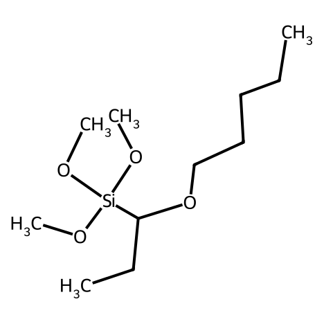 CCCCCOC(CC)[Si](OC)(OC)OC